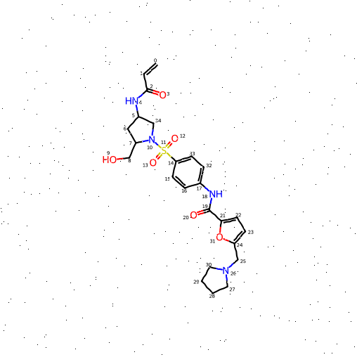 C=CC(=O)NC1CC(CO)N(S(=O)(=O)c2ccc(NC(=O)c3ccc(CN4CCCC4)o3)cc2)C1